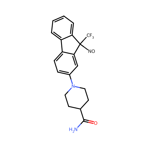 NC(=O)C1CCN(c2ccc3c(c2)C(N=O)(C(F)(F)F)c2ccccc2-3)CC1